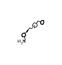 NCc1cccc(C#CCCN2CCC(Cc3ccccc3)CC2)c1